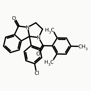 Cc1cc(C)c(C(=O)N2CCN3C(=O)c4ccccc4C32c2ccc(Cl)cc2)c(C)c1